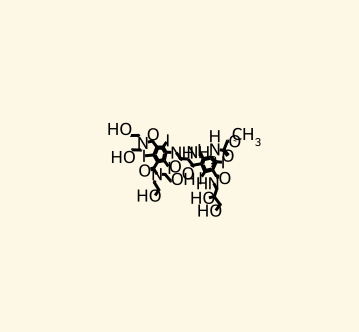 COCC(=O)Nc1c(I)c(C(=O)NCC(O)CO)c(I)c(C(=O)C(N)C(=O)Nc2c(I)c(C(=O)N(CCO)CCO)c(I)c(C(=O)N(CCO)CCO)c2I)c1I